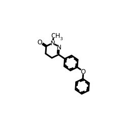 CN1N=C(c2ccc(Oc3ccccc3)cc2)CCC1=O